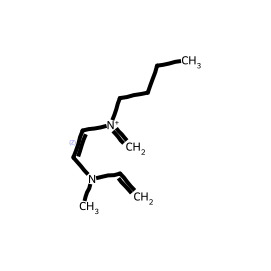 C=CN(C)/C=C\[N+](=C)CCCC